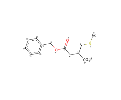 CC(=O)SCC(CC(=O)OCc1ccccc1)C(=O)O